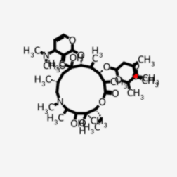 CC[C@H]1OC(=O)C(C)[C@@H](OC(CC(C)OC)OC(C)C(C)=O)C(C)[C@@H](OC2OC=CC(N(C)C)C2=O)C(C)(O)C[C@@H](C)CN(C)C(C)C(O)[C@]1(C)O